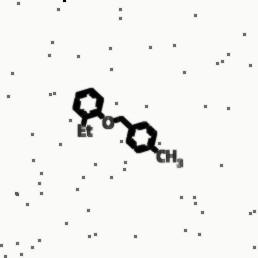 CCc1ccccc1OCc1ccc(C)cc1